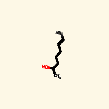 CCCCC=CCCCC(C)O